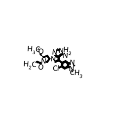 C=CC(=O)N1C[C@@H](n2cc(-c3cc4ncn(C)c4cc3Cl)c3c(N)ncnc32)C[C@@H]1COC